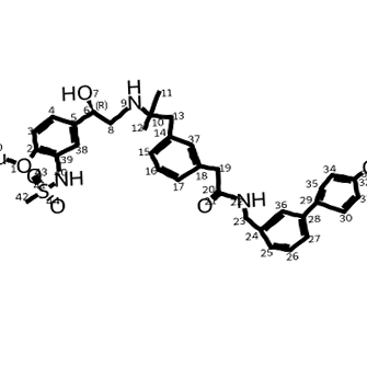 CCCCOc1ccc([C@@H](O)CNC(C)(C)Cc2cccc(CC(=O)NCc3cccc(-c4ccc(O)cc4)c3)c2)cc1NS(C)(=O)=O